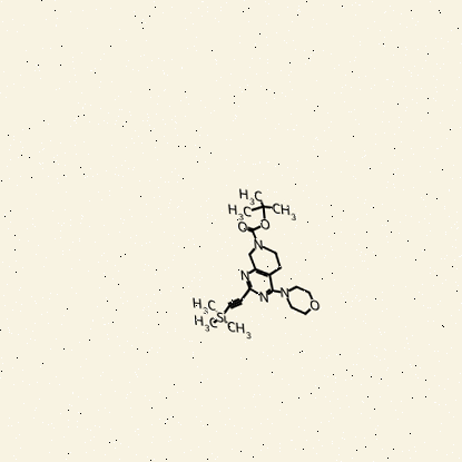 CC(C)(C)OC(=O)N1CCc2c(nc(C#C[Si](C)(C)C)nc2N2CCOCC2)C1